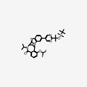 CC(C)N1C(=O)c2cccc(OC(F)F)c2C2CC1c1nc3ccc(-c4cnc(C(C)(C)O[Si](C)(C)C(C)(C)C)nc4)cc3n12